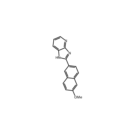 COc1ccc2cc(-c3nc4ncccc4[nH]3)ccc2c1